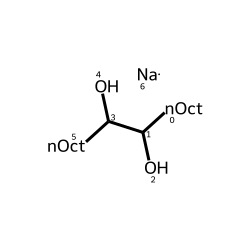 CCCCCCCCC(O)C(O)CCCCCCCC.[Na]